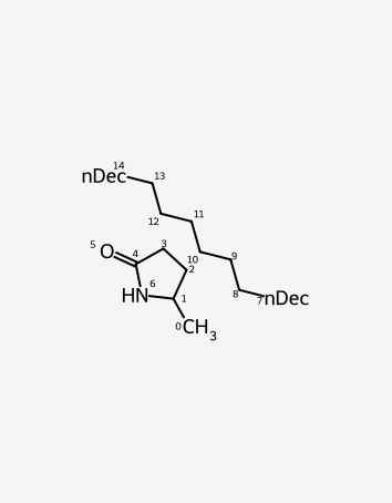 CC1CCC(=O)N1.CCCCCCCCCCCCCCCCCCCCCCCCCC